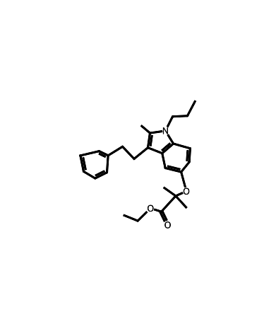 CCCn1c(C)c(CCc2ccccc2)c2cc(OC(C)(C)C(=O)OCC)ccc21